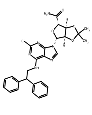 CC1(C)O[C@@H]2[C@H](O1)[C@@H](C(N)=O)O[C@H]2n1cnc2c(NCC(c3ccccc3)c3ccccc3)nc(Cl)nc21